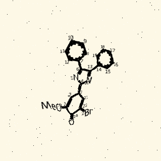 COC1=CC(=C2N=C(c3ccccc3)C(c3ccccc3)=N2)C=C(Br)C1=O